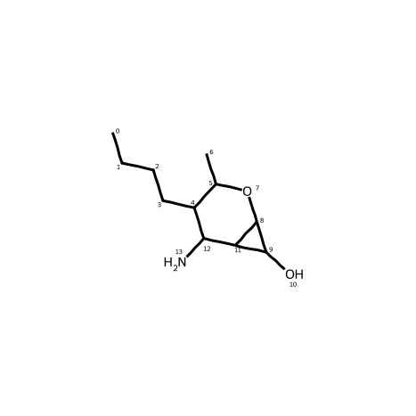 CCCCC1C(C)OC2C(O)C2C1N